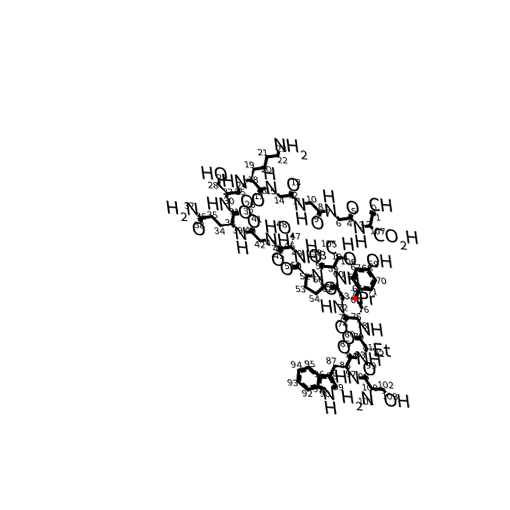 C#CC(NC(=O)CNC(=O)CNC(=O)CNC(=O)[C@H](CCCCN)NC(=O)[C@H](CO)NC(=O)[C@H](CCC(N)=O)NC(=O)CNC(=O)[C@H](CO)NC(=O)[C@@H]1CCCN1C(=O)[C@@H](NC(=O)[C@H](Cc1ccc(O)cc1)NC(=O)[C@H](CC(C)C)NC(=O)[C@H](CC)NC(=O)[C@H](Cc1c[nH]c2ccccc12)NC(=O)[C@@H](N)CO)[C@@H](C)O)C(=O)O